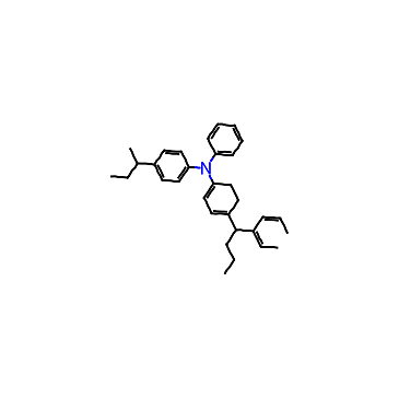 C/C=C\C(=C/C)C(CCC)C1=CC=C(N(c2ccccc2)c2ccc(C(C)CC)cc2)CC1